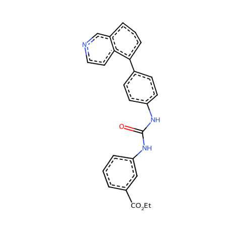 CCOC(=O)c1cccc(NC(=O)Nc2ccc(-c3cccc4cnccc34)cc2)c1